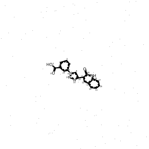 O=C(O)c1cccc(-n2cc(-c3cc4ccccc4[nH]c3=O)nn2)c1